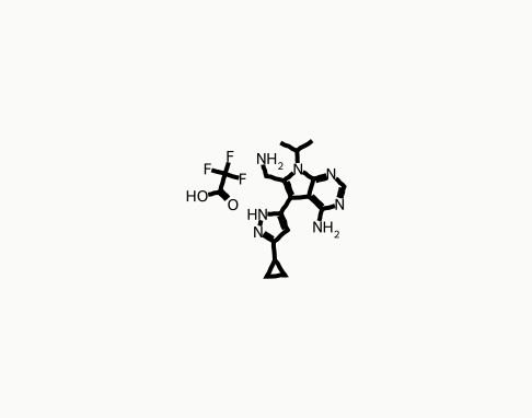 CC(C)n1c(CN)c(-c2cc(C3CC3)n[nH]2)c2c(N)ncnc21.O=C(O)C(F)(F)F